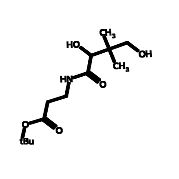 CC(C)(C)OC(=O)CCNC(=O)C(O)C(C)(C)CO